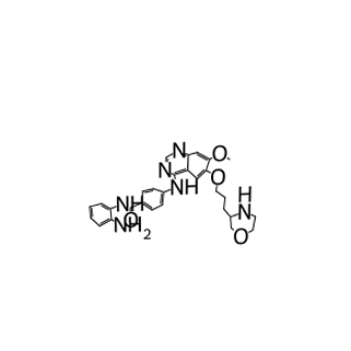 COc1cc2ncnc(Nc3ccc(C(=O)Nc4ccccc4N)cc3)c2cc1OCCCC1COCCN1